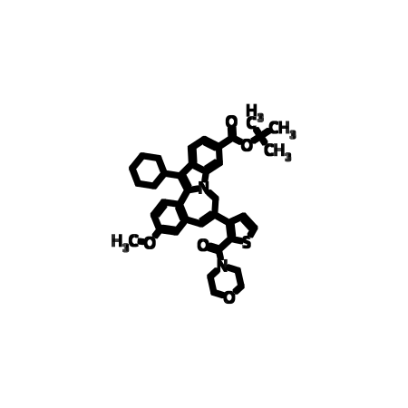 COc1ccc2c(c1)C=C(c1ccsc1C(=O)N1CCOCC1)Cn1c-2c(C2CCCCC2)c2ccc(C(=O)OC(C)(C)C)cc21